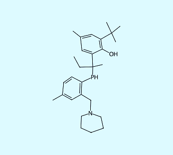 CCC(C)(Pc1ccc(C)cc1CN1CCCCC1)c1cc(C)cc(C(C)(C)C)c1O